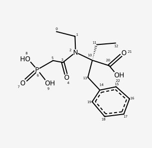 CCN(C(=O)CP(=O)(O)O)[C@](CC)(Cc1ccccc1)C(=O)O